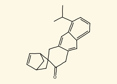 CC(C)c1cccc2cc3c(cc12)CC1(CC2C=CC1C2)C(=O)C3